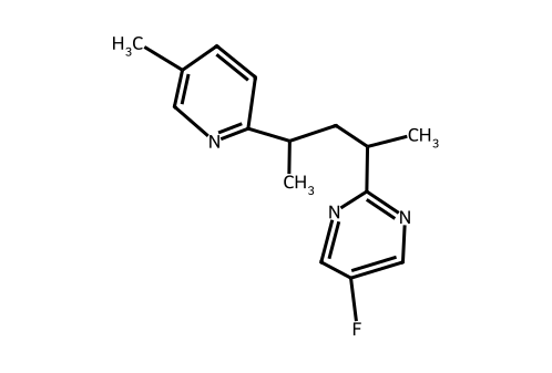 Cc1ccc(C(C)CC(C)c2ncc(F)cn2)nc1